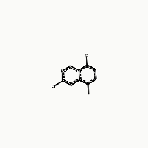 Cc1ccc(Cl)c2cnc(Cl)cc12